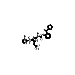 O=C(O)Cc1nc(NC(=O)Nc2ccccc2C(=O)C2CCCC2)sc1S(=O)(=O)c1ncc[nH]1